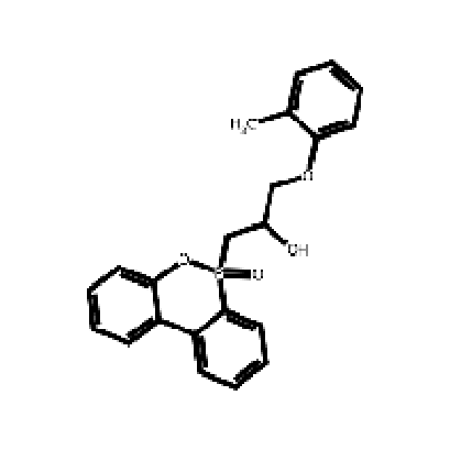 Cc1ccccc1OCC(O)CP1(=O)Oc2ccccc2-c2ccccc21